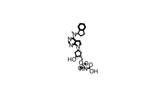 CN(c1ncnc2c1ccn2[C@@H]1C[C@@H](COS(=O)(=O)NC(=O)O)[C@@H](O)C1)C1CCc2ccccc21